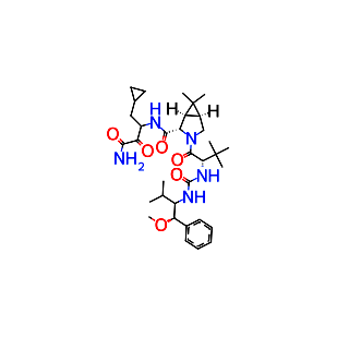 CO[C@H](c1ccccc1)C(NC(=O)N[C@H](C(=O)N1C[C@H]2[C@@H]([C@H]1C(=O)NC(CC1CC1)C(=O)C(N)=O)C2(C)C)C(C)(C)C)C(C)C